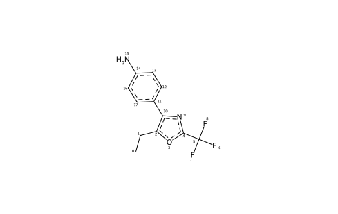 CCc1oc(C(F)(F)F)nc1-c1ccc(N)cc1